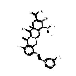 CN(C)C1C(O)=C(C(N)=O)CC2(O)C(O)=C3C(=O)c4c(O)ccc(/C=C/c5cccc([N+](=O)[O-])c5)c4CC3CC12